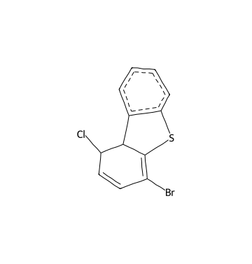 ClC1C=CC(Br)=C2Sc3ccccc3C21